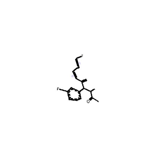 C=C(/C=C\C=C\F)C(c1cccc(F)c1)C(C)C(C)=O